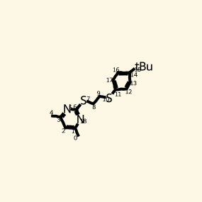 Cc1cc(C)nc(SCCSc2ccc(C(C)(C)C)cc2)n1